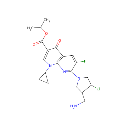 CC(C)OC(=O)c1cn(C2CC2)c2nc(N3CC(Cl)C(CN)C3)c(F)cc2c1=O